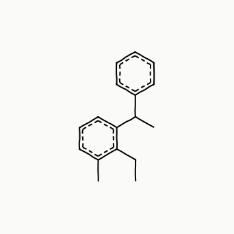 CCc1c(C)cccc1C(C)c1ccccc1